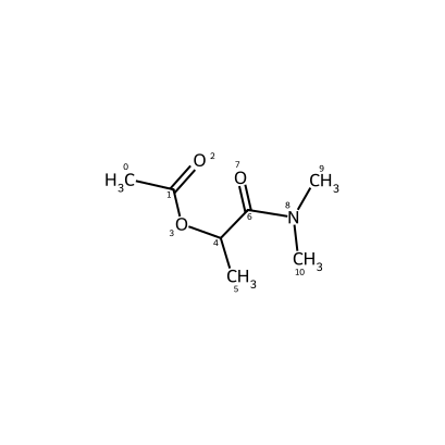 CC(=O)OC(C)C(=O)N(C)C